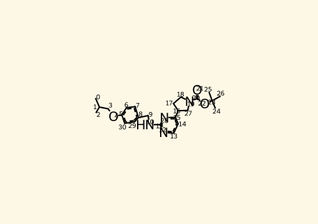 CC(C)COc1ccc(CNc2nccc(C3CCN(C(=O)OC(C)(C)C)C3)n2)cc1